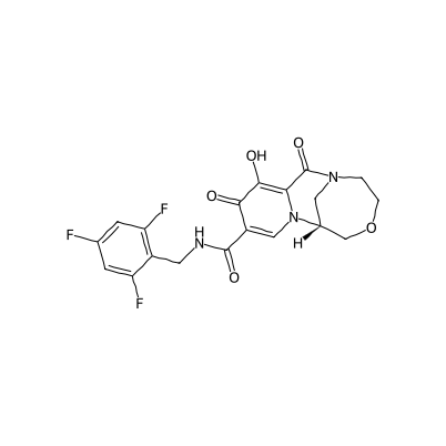 O=C(NCc1c(F)cc(F)cc1F)c1cn2c(c(O)c1=O)C(=O)N1CCOC[C@H]2C1